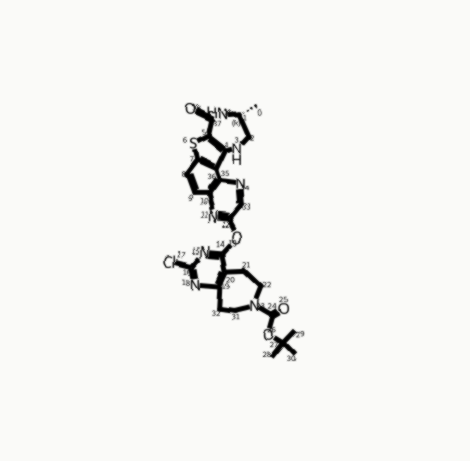 C[C@@H]1CNc2c(sc3ccc4nc(Oc5nc(Cl)nc6c5CCN(C(=O)OC(C)(C)C)CC6)cnc4c23)C(=O)N1